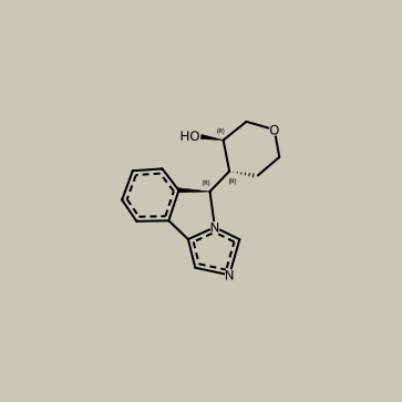 O[C@H]1COCC[C@@H]1[C@@H]1c2ccccc2-c2cncn21